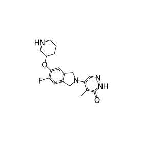 Cc1c(N2Cc3cc(F)c(OC4CCCNC4)cc3C2)cn[nH]c1=O